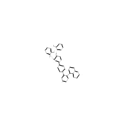 c1ccc2c(c1)Oc1cccc3c1N2c1ccc(-c2ccc(-c4ccccc4-c4cccc5ccccc45)cc2)cc1O3